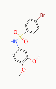 COc1ccc(NS(=O)(=O)c2ccc(Br)cc2)cc1OC